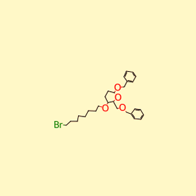 BrCCCCCCCCOC1CCC(OCc2ccccc2)OC1COCc1ccccc1